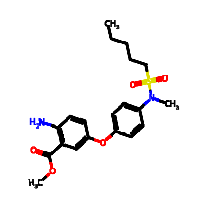 CCCCCS(=O)(=O)N(C)c1ccc(Oc2ccc(N)c(C(=O)OC)c2)cc1